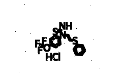 Cl.N=c1sc2cc(OC(F)(F)F)ccc2n1CCSc1ccccc1